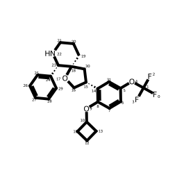 FC(F)(F)Oc1ccc(OC2CCC2)c([C@@H]2CO[C@]3(CCCN[C@H]3c3ccccc3)C2)c1